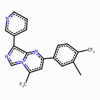 Cc1cc(-c2cc(C(F)(F)F)n3cnc(-c4cccnc4)c3n2)ccc1C(F)(F)F